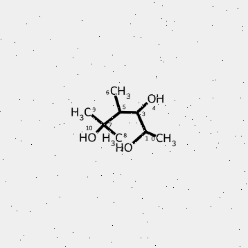 CC(O)C(O)C(C)C(C)(C)O